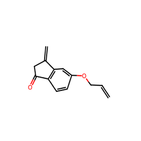 C=CCOc1ccc2c(c1)C(=C)CC2=O